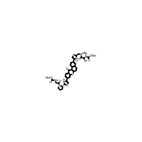 CCCN(Cc1ncc(-c2ccc3c(ccc4oc5cc(-c6cnc([C@@H]7CCCN7C(=O)CNC(=O)OC)[nH]6)ccc5c(=O)c43)c2)[nH]1)C(=O)C(NC(=O)OC)C(C)C